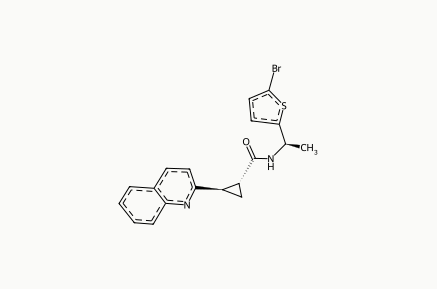 C[C@@H](NC(=O)[C@@H]1C[C@H]1c1ccc2ccccc2n1)c1ccc(Br)s1